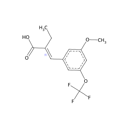 CC/C(=C\c1cc(OC)cc(OC(F)(F)F)c1)C(=O)O